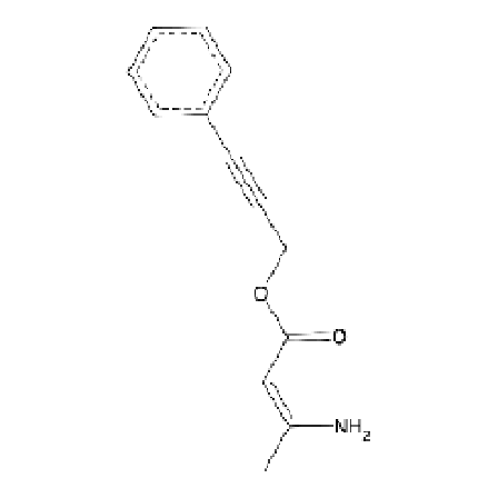 CC(N)=CC(=O)OCC#Cc1ccccc1